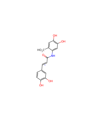 O=C(/C=C/c1ccc(O)c(O)c1)Nc1cc(O)c(O)cc1C(=O)O